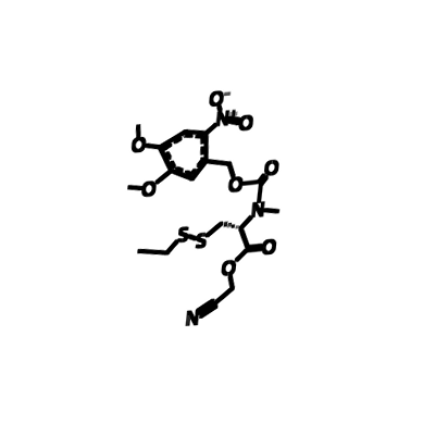 CCSSC[C@@H](C(=O)OCC#N)N(C)C(=O)OCc1cc(OC)c(OC)cc1[N+](=O)[O-]